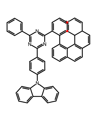 C1=CC2C=Cc3ccc4cccc(-c5ccccc5-c5nc(-c6ccccc6)nc(-c6ccc(-n7c8ccccc8c8ccccc87)cc6)n5)c4c3C2C=N1